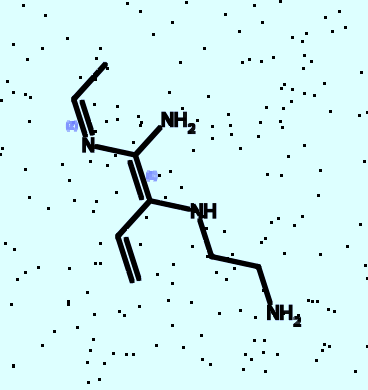 C=C/C(NCCN)=C(N)\N=C/C